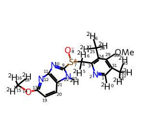 [2H]c1nc(C([2H])([2H])[S+]([O-])c2nc3nc(OC([2H])([2H])[2H])ccc3n2[2H])c(C([2H])([2H])[2H])c(OC)c1C([2H])([2H])[2H]